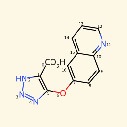 O=C(O)c1[nH]nnc1Oc1ccc2ncccc2c1